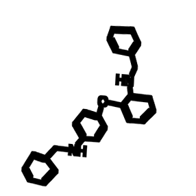 c1ccc(CNc2ccc(Oc3ccccc3NCc3ccccc3)cc2)cc1